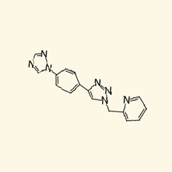 c1ccc(Cn2cc(-c3ccc(-n4cncn4)cc3)nn2)nc1